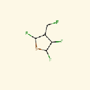 FCC1C(F)SC(F)C1F